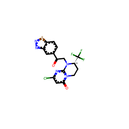 O=C(CN1c2nc(Cl)cc(=O)n2CC[C@H]1C(F)(F)F)c1ccc2snnc2c1